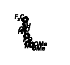 COC1=Cc2c(Oc3ccc(NC(=O)C(=O)NCc4cccc(C(F)(F)F)c4)cc3F)ccnc2CC1OC